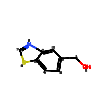 OCc1ccc2scnc2c1